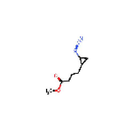 COC(=O)CCCC1CC1N=[N+]=[N-]